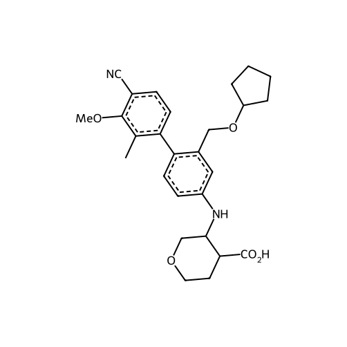 COc1c(C#N)ccc(-c2ccc(NC3COCCC3C(=O)O)cc2COC2CCCC2)c1C